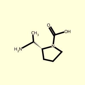 CC(N)[C@H]1CCCN1C(=O)O